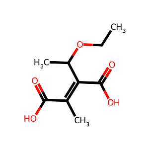 CCOC(C)C(C(=O)O)=C(C)C(=O)O